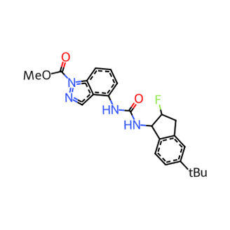 COC(=O)n1ncc2c(NC(=O)NC3c4ccc(C(C)(C)C)cc4CC3F)cccc21